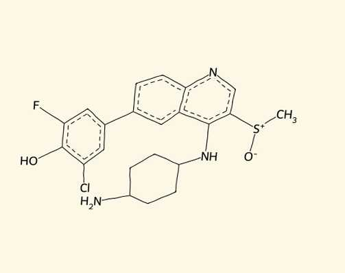 C[S+]([O-])c1cnc2ccc(-c3cc(F)c(O)c(Cl)c3)cc2c1NC1CCC(N)CC1